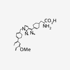 C=C/C(=C\C(=C/C)C1=CC=C(CN2C=CC(=C(/N=C)C3=CCC(C[C@H](N)C(=O)O)CC3)/C2=N\C)CC1)OC